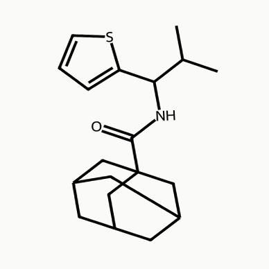 CC(C)C(NC(=O)C12CC3CC(CC(C3)C1)C2)c1cccs1